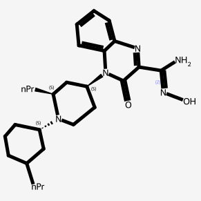 CCCC1CCC[C@H](N2CC[C@H](n3c(=O)c(/C(N)=N/O)nc4ccccc43)C[C@@H]2CCC)C1